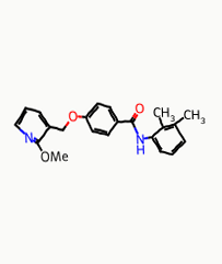 COc1ncccc1COc1ccc(C(=O)Nc2cccc(C)c2C)cc1